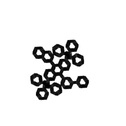 c1ccc(-c2cccc(-c3c4ccc([Si](c5ccccc5)(c5ccccc5)c5ccccc5)cc4c(-c4ccc5ccccc5c4)c4ccc([Si](c5ccccc5)(c5ccccc5)c5ccccc5)cc34)c2)cc1